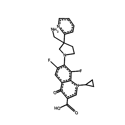 NCC1(c2ccccn2)CCN(c2c(F)cc3c(=O)c(C(=O)O)cn(C4CC4)c3c2F)C1